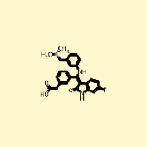 CN(C)Cc1cccc(NC(=C2C(=O)Nc3cc(F)ccc32)c2cccc(CC(=O)O)c2)c1